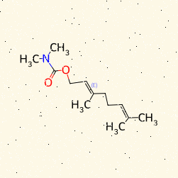 CC(C)=CCC/C(C)=C/COC(=O)N(C)C